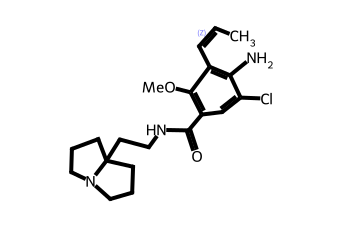 C/C=C\c1c(N)c(Cl)cc(C(=O)NCCC23CCCN2CCC3)c1OC